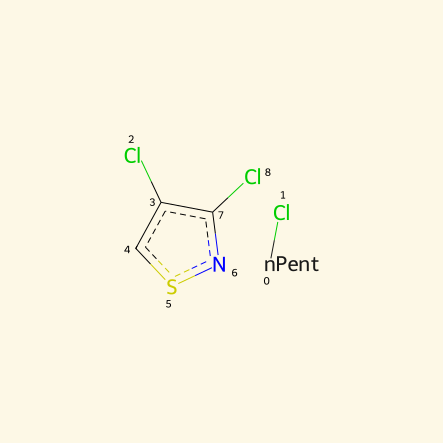 CCCCCCl.Clc1csnc1Cl